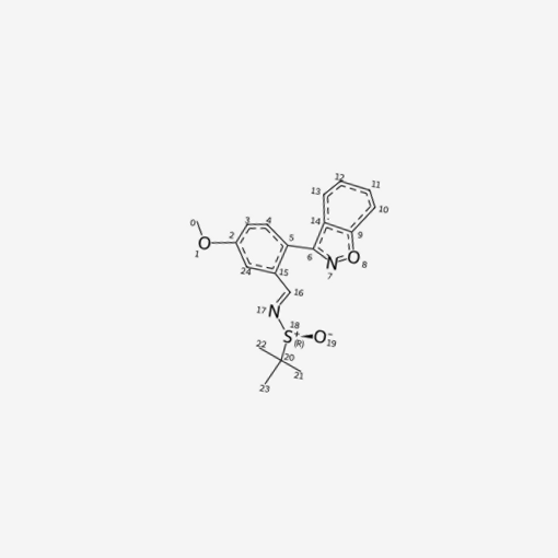 COc1ccc(-c2noc3ccccc23)c(C=N[S@@+]([O-])C(C)(C)C)c1